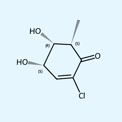 C[C@@H]1C(=O)C(Cl)=C[C@H](O)[C@@H]1O